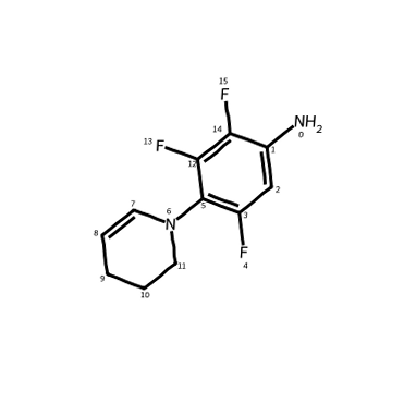 Nc1cc(F)c(N2C=CCCC2)c(F)c1F